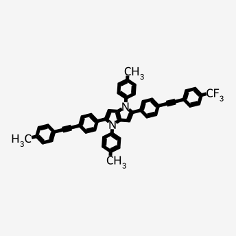 Cc1ccc(C#Cc2ccc(-c3cc4c(cc(-c5ccc(C#Cc6ccc(C(F)(F)F)cc6)cc5)n4-c4ccc(C)cc4)n3-c3ccc(C)cc3)cc2)cc1